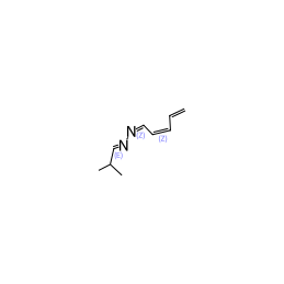 C=C\C=C/C=N\N=C\C(C)C